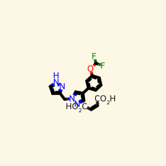 FC(F)Oc1cccc(-c2cnn(Cc3cc[nH]n3)c2)c1.O=C(O)/C=C\C(=O)O